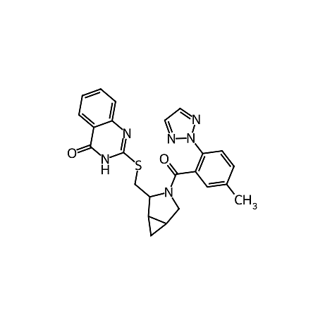 Cc1ccc(-n2nccn2)c(C(=O)N2CC3CC3C2CSc2nc3ccccc3c(=O)[nH]2)c1